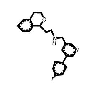 Fc1ccc(-c2cncc(CNCCC3OCCc4ccccc43)c2)cc1